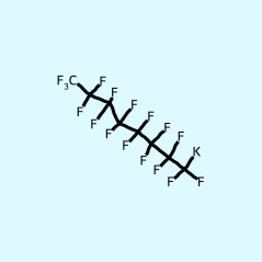 FC(F)(F)C(F)(F)C(F)(F)C(F)(F)C(F)(F)C(F)(F)C(F)(F)[C](F)(F)[K]